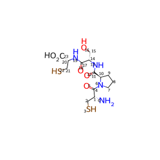 N[C@H](CS)C(=O)N1CCC[C@@H]1C(=O)N[C@@H](CO)C(=O)N[C@H](CS)C(=O)O